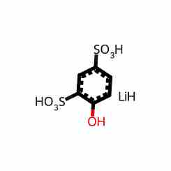 O=S(=O)(O)c1ccc(O)c(S(=O)(=O)O)c1.[LiH]